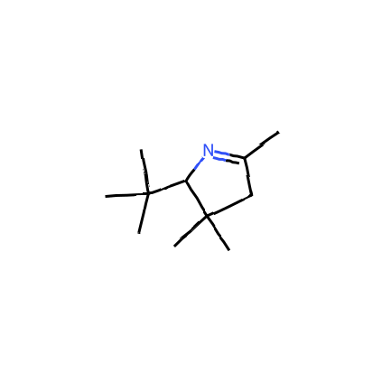 CC1=NC(C(C)(C)C)C(C)(C)C1